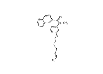 CCC=CCCCCOc1cccc(N(C)C(=O)c2ccc3ncccc3c2)c1